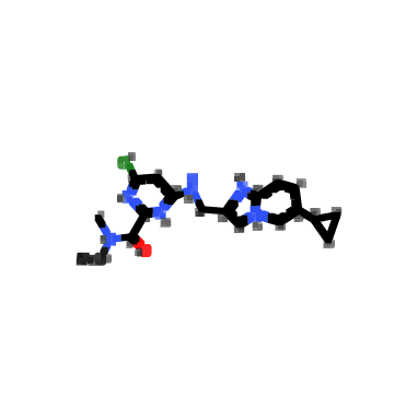 CON(C)C(=O)c1nc(Cl)cc(NCc2cn3cc(C4CC4)ccc3n2)n1